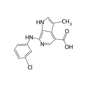 Cc1c[nH]c2c(Nc3cccc(Cl)c3)ncc(C(=O)O)c12